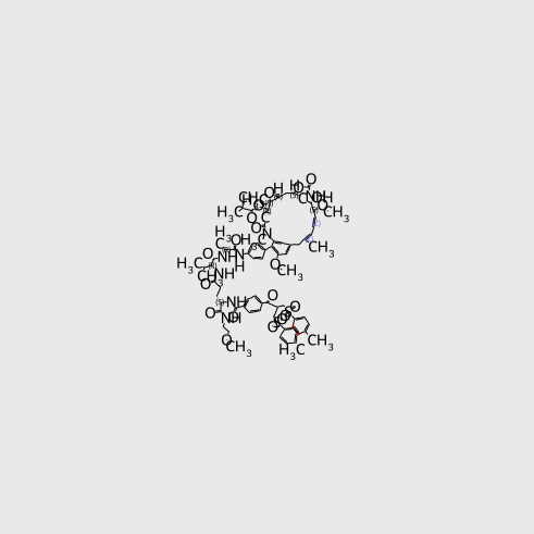 COCCNC(=O)[C@H](CCC(=O)N[C@@H](C(=O)N[C@H](C)C(=O)Nc1ccc(-c2c(OC)cc3cc2N(C)C(=O)C[C@@H](OC(=O)C(C)C)[C@@]2(C)O[C@@H]2C[C@H]2CC(O)(NC(=O)O2)[C@@H](OC)/C=C\C=C(\C)C3)cc1)C(C)C)NC(=O)c1ccc(C(=O)C(CS(=O)(=O)c2ccc(C)cc2)CS(=O)(=O)c2ccc(C)cc2)cc1